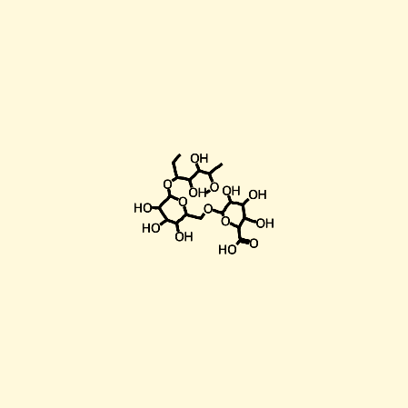 CCC(OC1OC(COC2OC(C(=O)O)C(O)C(O)C2O)C(O)C(O)C1O)C(O)C(O)C(C)OC